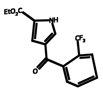 CCOC(=O)c1cc(C(=O)c2ccccc2C(F)(F)F)c[nH]1